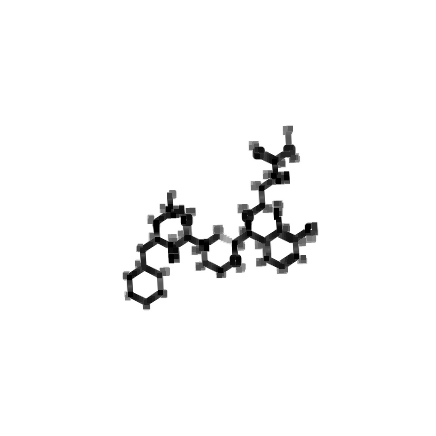 CNC[C@H](CC1CCCCC1)NC(=O)N1CCO[C@@H]([C@@H](OCCNC(=O)OC)c2cccc(Cl)c2F)C1